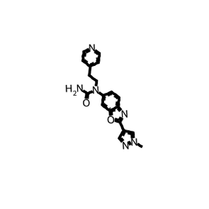 Cn1cc(-c2nc3ccc(N(CCc4ccncc4)C(N)=O)cc3o2)cn1